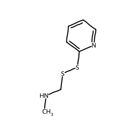 CNCSSc1ccccn1